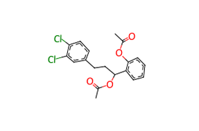 CC(=O)Oc1ccccc1C(CCc1ccc(Cl)c(Cl)c1)OC(C)=O